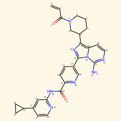 C=CC(=O)N1CCCC(c2nc(-c3ccc(C(=O)Nc4cc(C5CC5)ccn4)nc3)n3c(N)nccc23)C1